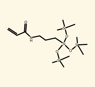 C=CC(=O)NCCC[Si](O[Si](C)(C)C)(O[Si](C)(C)C)O[Si](C)(C)C